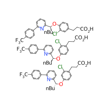 CCCC[C@@H](Oc1ccc(CCC(=O)O)c(Cl)c1)c1cccc(-c2ccc(C(F)(F)F)cc2)n1.CCCC[C@H](Oc1ccc(CCC(=O)O)c(Cl)c1)c1cccc(-c2ccc(C(F)(F)F)cc2)n1.CCCC[C@H](Oc1ccc(CCC(=O)O)cc1Cl)c1cccc(-c2ccc(C(F)(F)F)cc2)n1